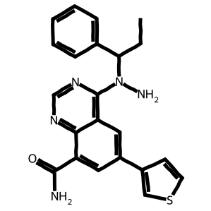 CCC(c1ccccc1)N(N)c1ncnc2c(C(N)=O)cc(-c3ccsc3)cc12